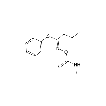 CCCC(=NOC(=O)NC)Sc1ccccc1